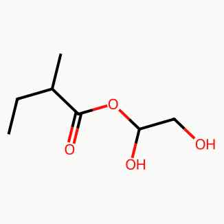 CCC(C)C(=O)OC(O)CO